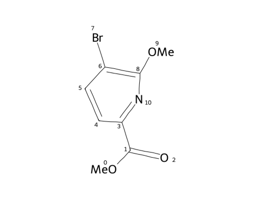 COC(=O)c1ccc(Br)c(OC)n1